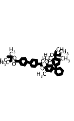 CCC(C)(CC)OC(=O)c1ccc(-c2ccc(C(=O)Oc3c(C)cc(C4(c5cc(C)c(C(C)(CC)CC)c(C)c5)CCCCC4)cc3C)cc2)cc1